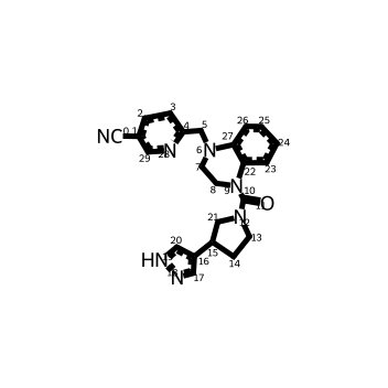 N#Cc1ccc(CN2CCN(C(=O)N3CCC(c4cn[nH]c4)C3)c3ccccc32)nc1